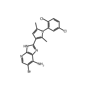 Cc1cc(-c2nc3c(N)c(Br)cnc3[nH]2)c(C)n1-c1cc(Cl)ccc1Cl